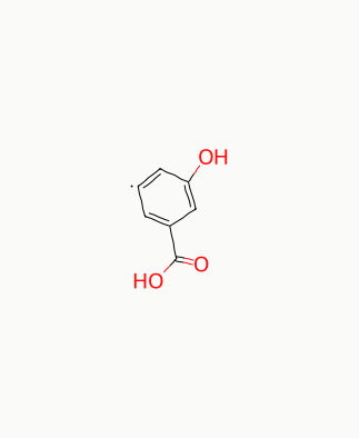 O=C(O)c1c[c]cc(O)c1